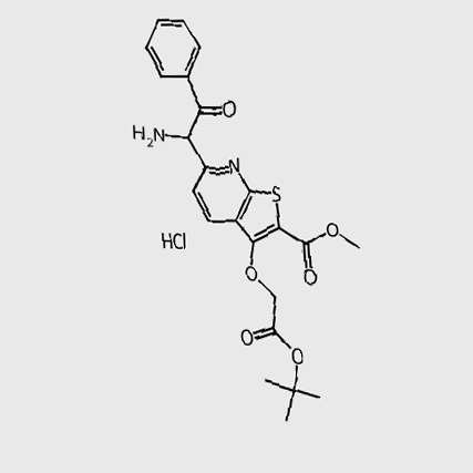 COC(=O)c1sc2nc(C(N)C(=O)c3ccccc3)ccc2c1OCC(=O)OC(C)(C)C.Cl